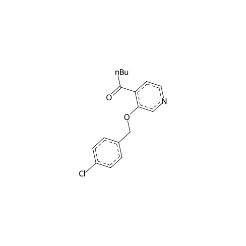 CCCCC(=O)c1ccncc1OCc1ccc(Cl)cc1